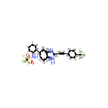 O=S(=O)(Nc1ccccc1-c1ccc2[nH]c(C#Cc3ccc(C(F)(F)F)cc3)nc2c1)C(F)(F)F